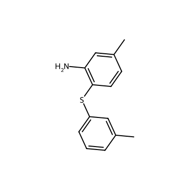 Cc1cccc(Sc2ccc(C)cc2N)c1